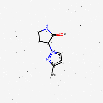 CC(C)(C)c1ccn(C2CCNC2=O)n1